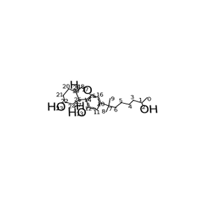 CC(O)CCCCC(C)(C)c1cc(O)c2c(c1)OC[C@H]1CCC(O)C[C@@H]21